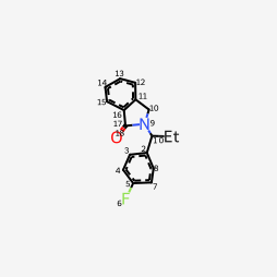 CCC(c1ccc(F)cc1)N1Cc2ccccc2C1=O